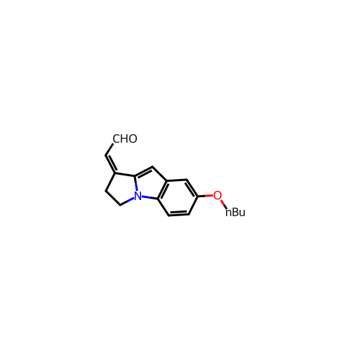 CCCCOc1ccc2c(c1)cc1n2CC/C1=C/C=O